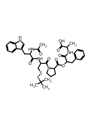 CC(=O)NC(Cc1c[nH]c2ccccc12)C(=O)NC(CSSC(C)(C)C)C(=O)N1CCCC1C(=O)OC(Cc1ccccc1)C(=O)NC(C)C(=O)O